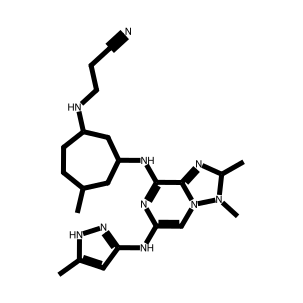 Cc1cc(NC2=CN3C(=NC(C)N3C)C(NC3CC(C)CCC(NCCC#N)C3)=N2)n[nH]1